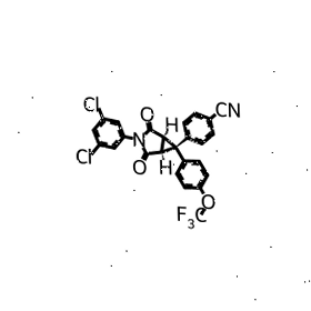 N#Cc1ccc([C@]2(c3ccc(OC(F)(F)F)cc3)[C@@H]3C(=O)N(c4cc(Cl)cc(Cl)c4)C(=O)[C@@H]32)cc1